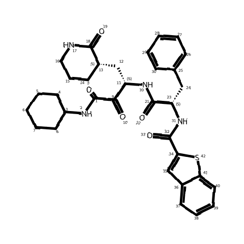 O=C(NC1CCCCC1)C(=O)[C@H](C[C@@H]1CCCNC1=O)NC(=O)[C@H](Cc1ccccc1)NC(=O)c1cc2ccccc2s1